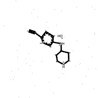 C#Cc1ccc(NC2CCNCC2)cn1.Cl